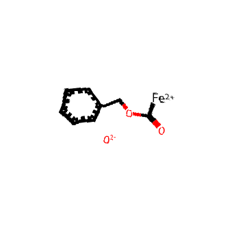 O=[C]([Fe+2])OCc1ccccc1.[O-2]